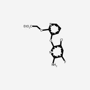 CCOC(=O)COc1ncccc1Oc1nc(N)c(F)cc1Cl